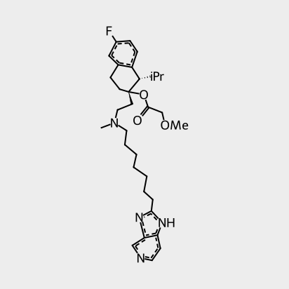 COCC(=O)O[C@]1(CCN(C)CCCCCCCc2nc3cnccc3[nH]2)CCc2cc(F)ccc2[C@@H]1C(C)C